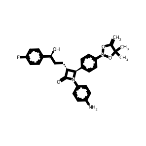 C=C1OB(c2ccc([C@@H]3[C@@H](CC[C@H](O)c4ccc(F)cc4)C(=O)N3c3ccc(N)cc3)cc2)OC1(C)C